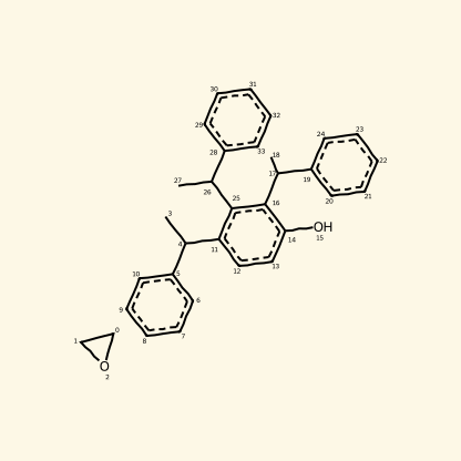 C1CO1.CC(c1ccccc1)c1ccc(O)c(C(C)c2ccccc2)c1C(C)c1ccccc1